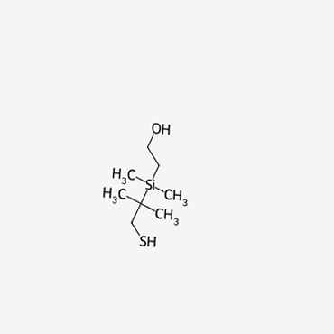 CC(C)(CS)[Si](C)(C)CCO